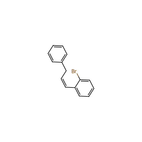 Brc1ccccc1/C=C\Cc1ccccc1